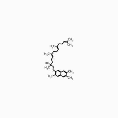 CC(C)=CCC/C(C)=C/CC/C(C)=C/CCC(C)(O)CCc1cc2cc(C)c(C)cc2cc1C